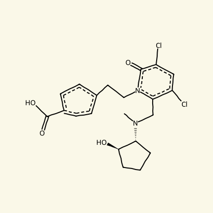 CN(Cc1c(Cl)cc(Cl)c(=O)n1CCc1ccc(C(=O)O)cc1)[C@@H]1CCC[C@H]1O